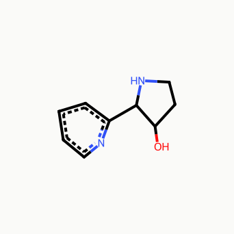 OC1CCNC1c1ccccn1